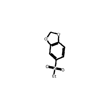 CCS(=O)(=O)c1ccc2c(c1)OCO2